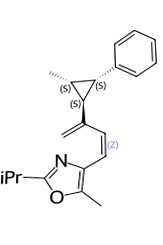 C=C(/C=C\c1nc(C(C)C)oc1C)[C@H]1[C@H](C)[C@@H]1c1ccccc1